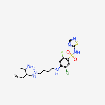 CC(C)CC(CNCCCCNc1cc(F)c(S(=O)(=O)Nc2ncns2)cc1Cl)C(C)N